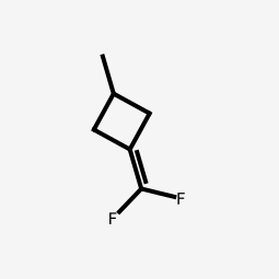 CC1CC(=C(F)F)C1